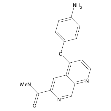 CNC(=O)c1cc2c(Oc3ccc(N)cc3)ccnc2cn1